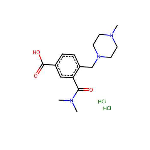 CN1CCN(Cc2ccc(C(=O)O)cc2C(=O)N(C)C)CC1.Cl.Cl